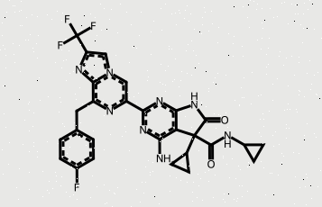 Nc1nc(-c2cn3cc(C(F)(F)F)nc3c(Cc3ccc(F)cc3)n2)nc2c1C(C(=O)NC1CC1)(C1CC1)C(=O)N2